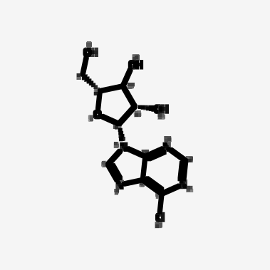 OC[C@H]1O[C@@H](n2cnc3c(Cl)ncnc32)[C@@H](O)C1O